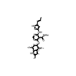 C/C=C/c1cc(Nc2ncnc(Oc3cc(F)c4[nH]c(C)cc4c3F)c2C(=O)NC)n[nH]1